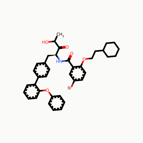 CC(O)C(=O)[C@H](Cc1ccc(-c2ccccc2Oc2ccccc2)cc1)NC(=O)c1cc(Br)ccc1OCCC1CCCCC1